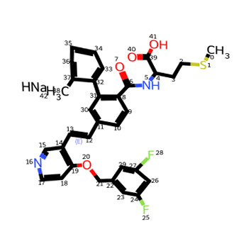 CSCCC(NC(=O)c1ccc(/C=C/c2cnccc2OCc2cc(F)cc(F)c2)cc1-c1ccccc1C)C(=O)O.[NaH]